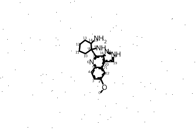 COc1ccc2nc(C3(N)CCCCC3N)c3n[nH]cc3c2c1